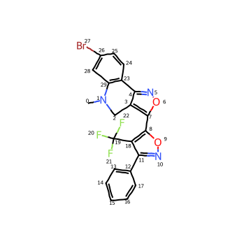 CN1Cc2c(noc2-c2onc(-c3ccccc3)c2C(F)(F)F)-c2ccc(Br)cc21